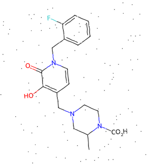 CC1CN(Cc2ccn(Cc3ccccc3F)c(=O)c2O)CCN1C(=O)O